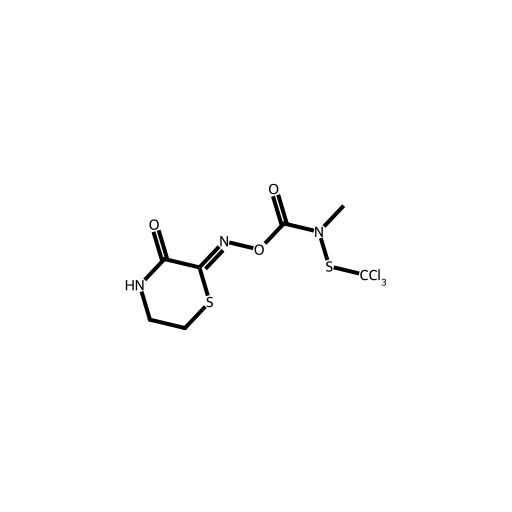 CN(SC(Cl)(Cl)Cl)C(=O)ON=C1SCCNC1=O